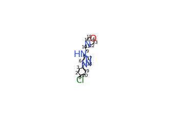 Clc1ccc(-n2cc(NCCN3CCOCC3)nn2)cc1